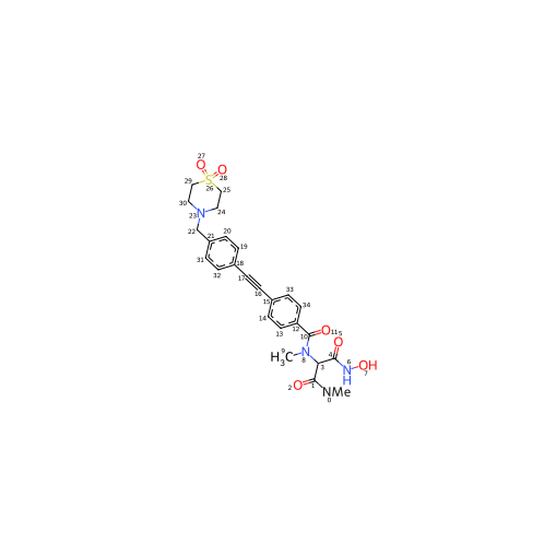 CNC(=O)C(C(=O)NO)N(C)C(=O)c1ccc(C#Cc2ccc(CN3CCS(=O)(=O)CC3)cc2)cc1